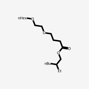 CCCCCCOCCOCCCC(=O)OCC(CC)CCCC